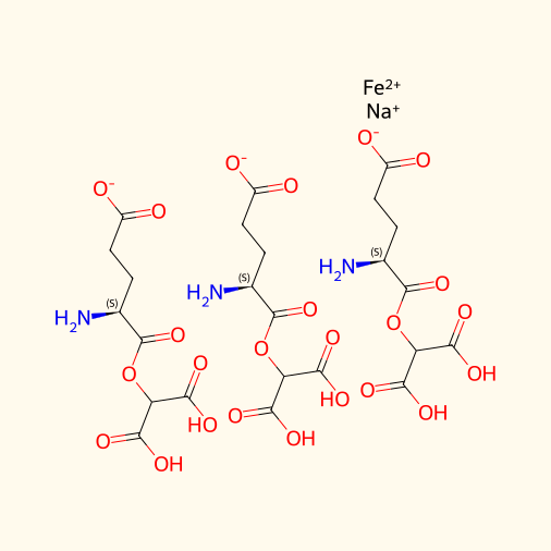 N[C@@H](CCC(=O)[O-])C(=O)OC(C(=O)O)C(=O)O.N[C@@H](CCC(=O)[O-])C(=O)OC(C(=O)O)C(=O)O.N[C@@H](CCC(=O)[O-])C(=O)OC(C(=O)O)C(=O)O.[Fe+2].[Na+]